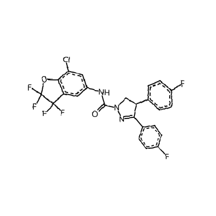 O=C(Nc1cc(Cl)c2c(c1)C(F)(F)C(F)(F)O2)N1CC(c2ccc(F)cc2)C(c2ccc(F)cc2)=N1